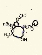 CCCCOc1cc(OCOCC)cc2c1C(=O)O[C@H](C)C/C=C/[C@@H](O)C/C=C/C(=N\OCC(=O)N1CCCCC1)C2